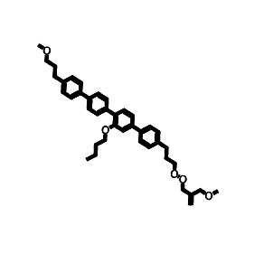 C=C(COC)COOCCCc1ccc(-c2ccc(-c3ccc(-c4ccc(CCCOC)cc4)cc3)c(OCCCC)c2)cc1